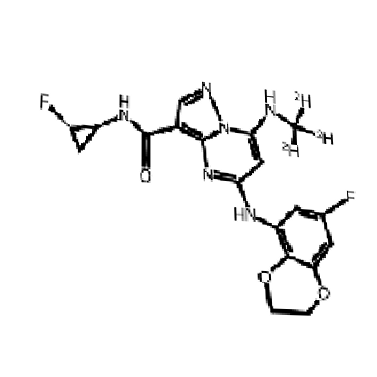 [2H]C([2H])([2H])Nc1cc(Nc2cc(F)cc3c2OCCO3)nc2c(C(=O)N[C@H]3C[C@H]3F)cnn12